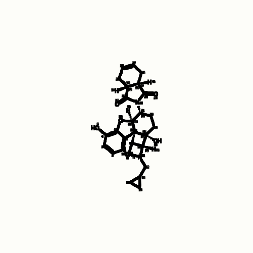 Cc1ccc(O)c2c1[C@]13C4CN(CC5CC5)[C@H]4[C@]1(O)CC[C@@H](N1C(=O)[C@H]4CC=CC[C@H]4C1=O)[C@@H]3O2